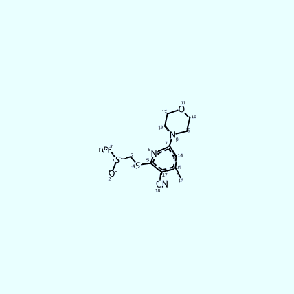 CCC[S+]([O-])CSc1nc(N2CCOCC2)cc(C)c1C#N